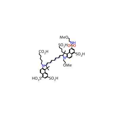 COCCNS(=O)(=O)c1cc(S(=O)(=O)O)c2ccc3c(c2c1)C(C)(CCCS(=O)(=O)O)C(/C=C/C=C/C=C/C=C1/N(CCCCCC(=O)O)c2ccc4c(S(=O)(=O)O)cc(S(=O)(=O)O)cc4c2C1(C)C)=[N+]3CCOC